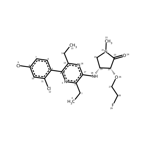 CCc1nc(-c2ccc(Cl)cc2Cl)c(CC)nc1N[C@@H]1CN(C)C(=O)[C@@H]1OCCF